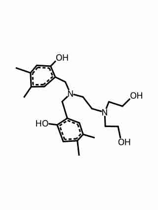 Cc1cc(O)c(CN(CCN(CCO)CCO)Cc2cc(C)c(C)cc2O)cc1C